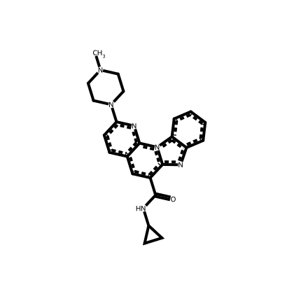 CN1CCN(c2ccc3cc(C(=O)NC4CC4)c4nc5ccccc5n4c3n2)CC1